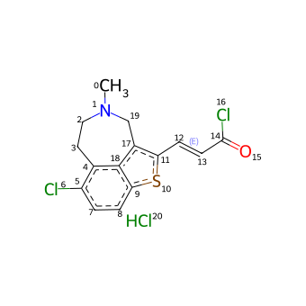 CN1CCc2c(Cl)ccc3sc(/C=C/C(=O)Cl)c(c23)C1.Cl